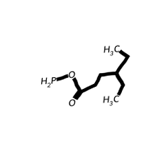 CCC(CC)CCC(=O)OP